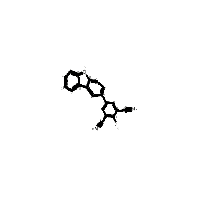 N#Cc1cc(-c2ccc3oc4ccccc4c3c2)cc(C#N)c1F